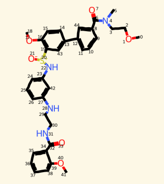 COCCN(C)C(=O)c1cccc(-c2ccc(OC)c([S+]([O-])Nc3cccc(NCCNC(=O)c4ccccc4OC)c3)c2)c1